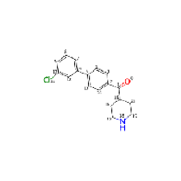 O=C(c1ccc(-c2cccc(Cl)c2)cc1)C1CCNCC1